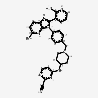 N#Cc1nccc(NC2CCN(Cc3ccc(-n4c(-c5cccnc5N)nc5ccc(Br)nc54)cc3)CC2)n1